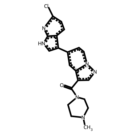 CN1CCN(C(=O)c2cnn3ccc(-c4c[nH]c5nc(Cl)ccc45)cc23)CC1